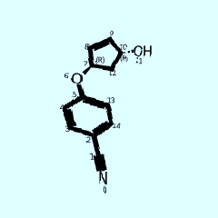 N#Cc1ccc(O[C@H]2C=C[C@H](O)C2)cc1